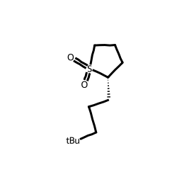 CC(C)(C)CCC[C@H]1CCCS1(=O)=O